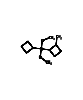 CO[Si](OC)(C1CCC1)C1CCC1C